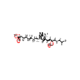 CCCCCC(C=CC=CCC=CCC=CCCCC(=O)[O-])O[O-].[Na+].[Na+]